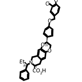 CC[C@H](c1ccccc1)N1Cc2cc3c(cc2C[C@H]1C(=O)O)OC[C@H](c1ccc(OCc2ccc(Cl)c(Cl)c2)cc1)O3